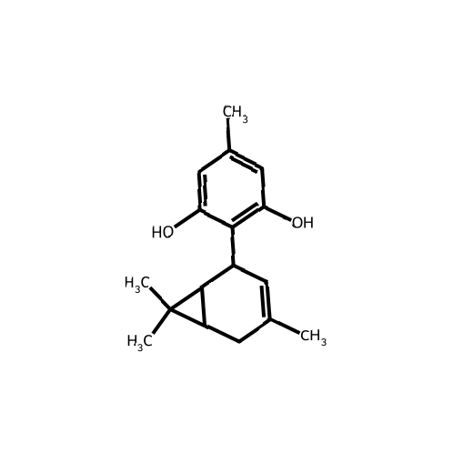 CC1=CC(c2c(O)cc(C)cc2O)C2C(C1)C2(C)C